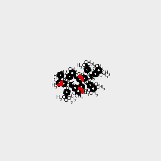 Cc1ccc(-c2ccc(C)c(CC3(C)CCC(C)(C)c4cc5c(cc43)B3c4sc6cc7c(cc6c4N(c4ccc(C(C)(C)C)cc4)c4cc(C)cc(c43)N5c3ccccc3-c3ccccc3C)C(C)(C)CCC7(C)C)c2)c(N2c3cc4c(cc3B3c5sc6cc7c(cc6c5N(c5ccc(C(C)(C)C)cc5)c5cc(C)cc2c53)C(C)(C)CCC7(C)C)C(C)(C)CCC4(C)C)c1